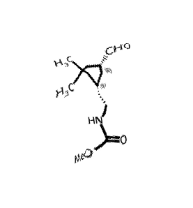 COC(=O)NC[C@H]1[C@@H](C=O)C1(C)C